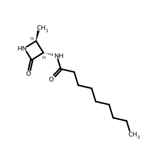 CCCCCCCCC(=O)N[C@@H]1C(=O)N[C@H]1C